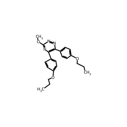 CCCOc1ccc(-c2nnc(OC)nc2-c2ccc(OCCC)cc2)cc1